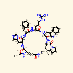 CC(=O)N[C@H]1CCC(=O)NCCC[C@@H](C(=O)N2CCC[C@H]2C)NC(=O)[C@H](Cc2c[nH]c3ccccc23)NC(=O)[C@H](CCCNC(=N)N)NC(=O)[C@@H](Cc2ccccc2)NC(=O)[C@H](Cc2cnc[nH]2)NC1=O